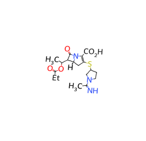 CCC(=O)OC(C)C1C(=O)N2C(C(=O)O)=C(SC3CCN(C(C)=N)C3)C[C@H]12